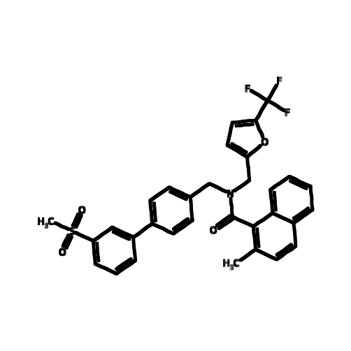 Cc1ccc2ccccc2c1C(=O)N(Cc1ccc(-c2cccc(S(C)(=O)=O)c2)cc1)Cc1ccc(C(F)(F)F)o1